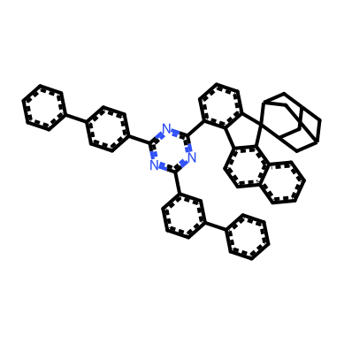 c1ccc(-c2ccc(-c3nc(-c4cccc(-c5ccccc5)c4)nc(-c4cccc5c4-c4ccc6ccccc6c4C54C5CC6CC(C5)CC4C6)n3)cc2)cc1